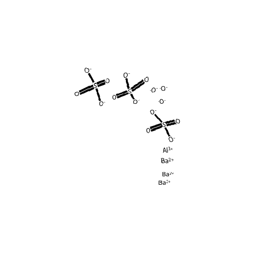 O=S(=O)([O-])[O-].O=S(=O)([O-])[O-].O=S(=O)([O-])[O-].[Al+3].[Ba+2].[Ba+2].[Ba+2].[O-].[O-].[O-]